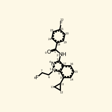 O=C(Nc1nn(CCF)c2c(C3CC3)cccc12)c1ccc(F)cc1